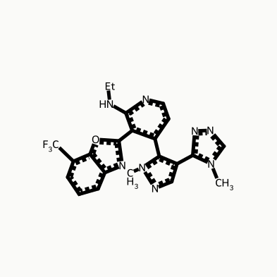 CCNc1nccc(-c2c(-c3nncn3C)cnn2C)c1-c1nc2cccc(C(F)(F)F)c2o1